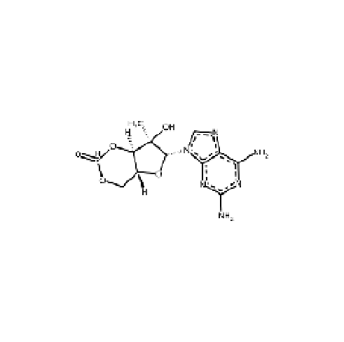 C[C@@]1(O)[C@@H]2O[PH](=O)OC[C@H]2O[C@H]1n1cnc2c(N)nc(N)nc21